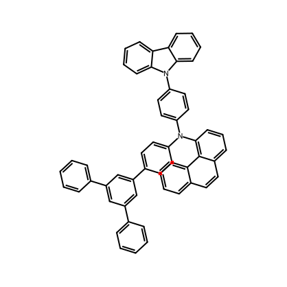 c1ccc(-c2cc(-c3ccccc3)cc(-c3ccc(N(c4ccc(-n5c6ccccc6c6ccccc65)cc4)c4cccc5ccc6ccccc6c45)cc3)c2)cc1